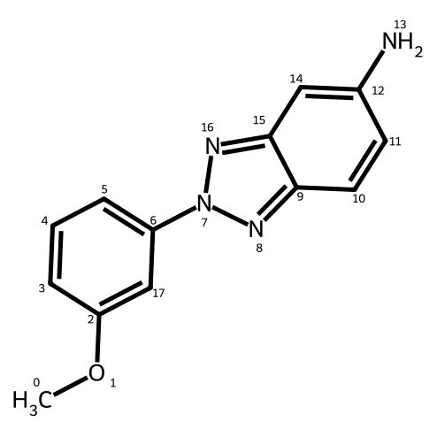 COc1cccc(-n2nc3ccc(N)cc3n2)c1